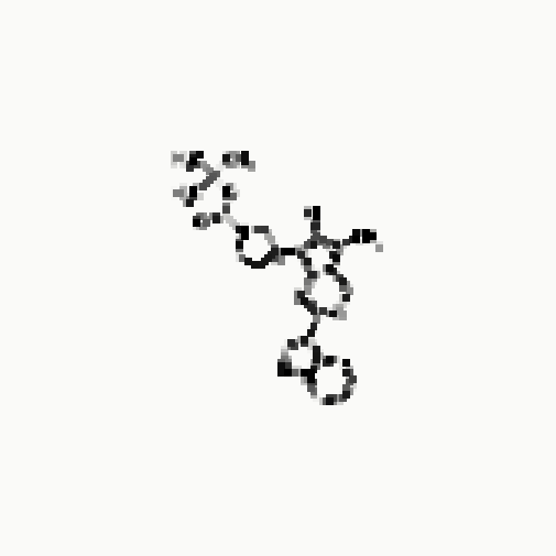 Cn1c(=O)n([C@H]2CCN(C(=O)OC(C)(C)C)C2)c2nc(-c3cnn4ccccc34)ncc21